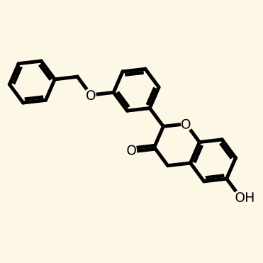 O=C1Cc2cc(O)ccc2OC1c1cccc(OCc2ccccc2)c1